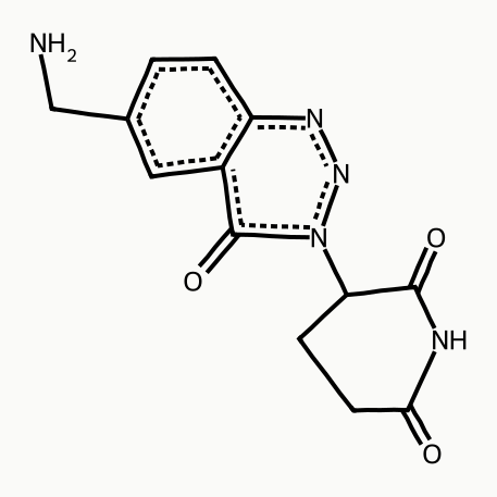 NCc1ccc2nnn(C3CCC(=O)NC3=O)c(=O)c2c1